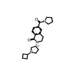 O=C(c1ccc2c(c1)CCN([C@@H]1CCN(C3CCC3)C1)C2=O)N1CCCC1